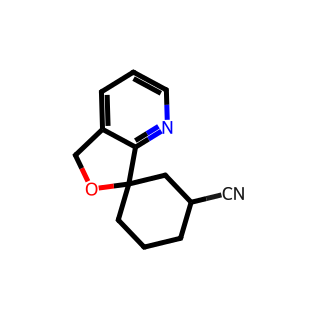 N#CC1CCCC2(C1)OCc1cccnc12